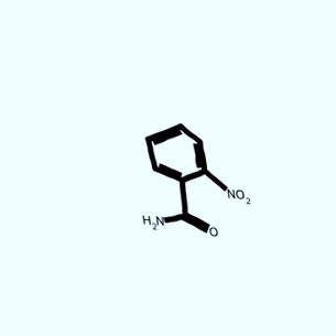 NC(=O)c1cc[c]cc1[N+](=O)[O-]